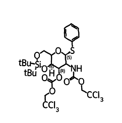 CC(C)(C)[Si]1(C(C)(C)C)OCC2O[C@@H](Sc3ccccc3)C(NC(=O)OCC(Cl)(Cl)Cl)[C@@H](OC(=O)OCC(Cl)(Cl)Cl)[C@H]2O1